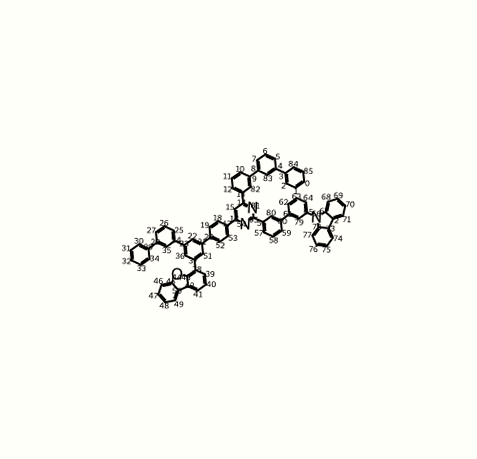 c1ccc(-c2cccc(-c3cccc(-c4cc(-c5ccc(-c6cc(-c7cccc(-c8ccccc8)c7)cc(-c7cccc8c7oc7ccccc78)c6)cc5)nc(-c5cccc(-c6cccc(-n7c8ccccc8c8ccccc87)c6)c5)n4)c3)c2)cc1